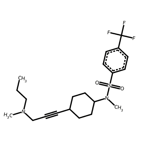 CCCN(C)CC#CC1CCC(N(C)S(=O)(=O)c2ccc(C(F)(F)F)cc2)CC1